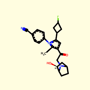 Cc1c(C(=O)CN2C3CCC2[C@@H](O)C3)cc(C2CC(F)C2)n1-c1ccc(C#N)cc1